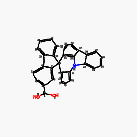 OB(O)c1ccc2c(c1)C1(c3ccccc3-2)c2ccccc2-n2c3ccccc3c3cccc1c32